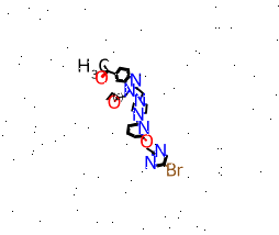 CC(=O)c1ccc2nc(CN3CCN(c4cccc(OCc5ncc(Br)cn5)n4)CC3)n(C[C@@H]3CCO3)c2c1